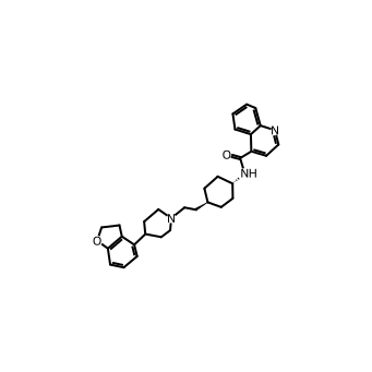 O=C(N[C@H]1CC[C@H](CCN2CCC(c3cccc4c3CCO4)CC2)CC1)c1ccnc2ccccc12